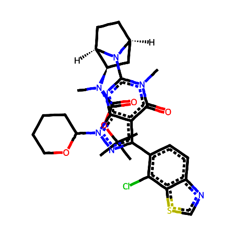 CN(C(=O)OC(C)(C)C)[C@@H]1C[C@@H]2CC[C@H]1N2c1nc2c(c(-c3ccc4ncsc4c3Cl)nn2C2CCCCO2)c(=O)n1C